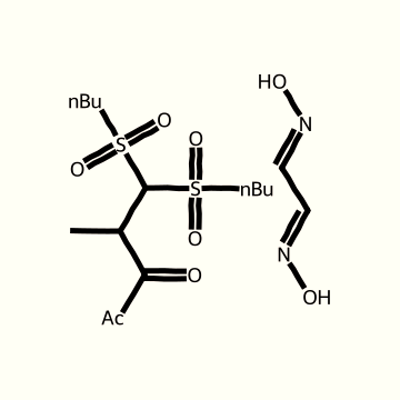 CCCCS(=O)(=O)C(C(C)C(=O)C(C)=O)S(=O)(=O)CCCC.ON=CC=NO